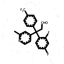 Cc1cc(C(CC=O)(c2ccc(C(F)(F)F)cc2)c2ccc(F)cc2F)ccn1